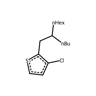 CCCCCCC(CCCC)Cc1sccc1Cl